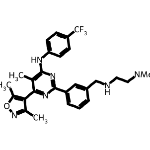 CNCCNCc1cccc(-c2nc(Nc3ccc(C(F)(F)F)cc3)c(C)c(-c3c(C)noc3C)n2)c1